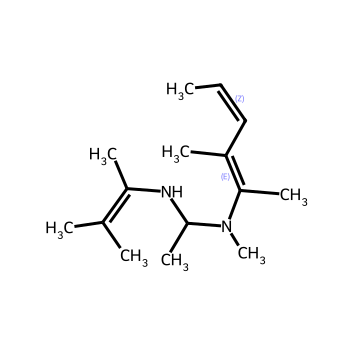 C/C=C\C(C)=C(/C)N(C)C(C)NC(C)=C(C)C